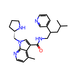 Cc1ccnc2c1c(C(=O)NCC(CC(C)C)c1cccnc1)cn2C[C@@H]1CCCN1